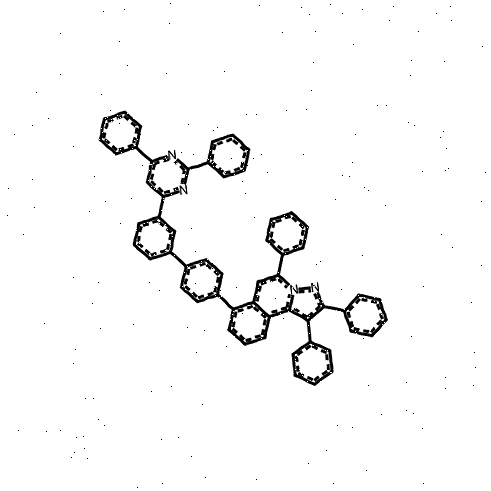 c1ccc(-c2cc(-c3cccc(-c4ccc(-c5cccc6c5cc(-c5ccccc5)n5nc(-c7ccccc7)c(-c7ccccc7)c65)cc4)c3)nc(-c3ccccc3)n2)cc1